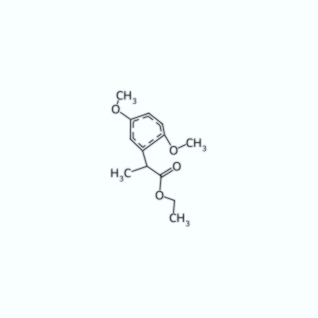 CCOC(=O)C(C)c1cc(OC)ccc1OC